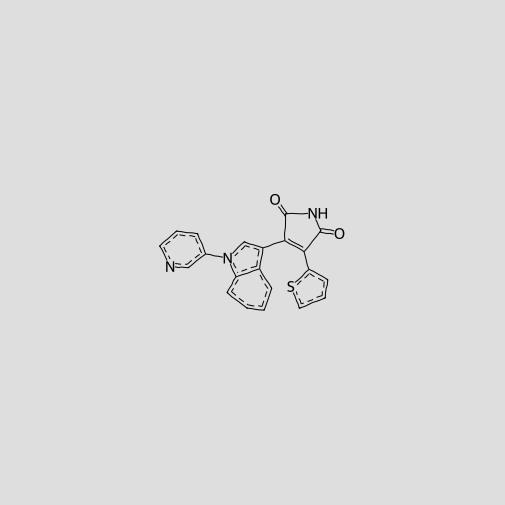 O=C1NC(=O)C(c2cn(-c3cccnc3)c3ccccc23)=C1c1cccs1